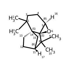 CC1(C)CC[C@H]2O[C@]23C(C)(C)[C@@H]2CC[C@]13C2